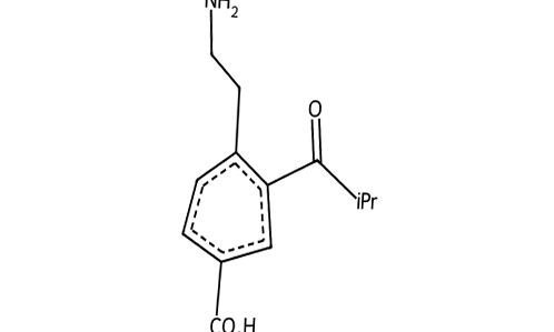 CC(C)C(=O)c1cc(C(=O)O)ccc1CCN